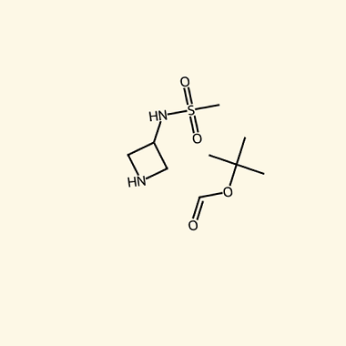 CC(C)(C)OC=O.CS(=O)(=O)NC1CNC1